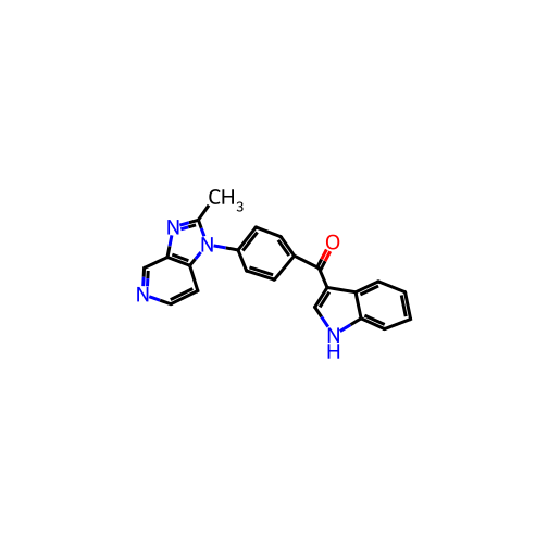 Cc1nc2cnccc2n1-c1ccc(C(=O)c2c[nH]c3ccccc23)cc1